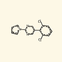 Clc1cccc(Cl)c1-c1cnc(-n2cccc2)nc1